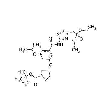 CCOP(=O)(Cc1csc(NC(=O)c2cc(OC(C)C)cc(O[C@@H]3CCN(C(=O)OC(C)(C)C)C3)c2)n1)OCC